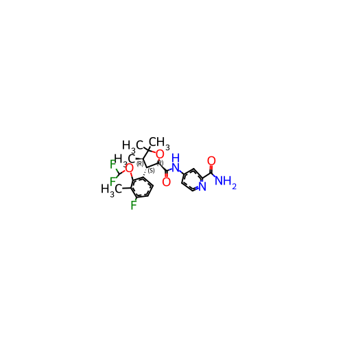 Cc1c(F)ccc([C@@H]2[C@@H](C)C(C)(C)O[C@H]2C(=O)Nc2ccnc(C(N)=O)c2)c1OC(F)F